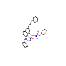 O=C(CC1CCCCC1)NCCc1cc(CC=Cc2ccccc2)cc2ccc3c(c12)C(=O)CCN3Cc1ccccc1